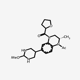 COC1NCC(c2ccc3c(c2)N(C(=O)C2CCCO2)C[C@H](C)N3C(C)=O)CN1